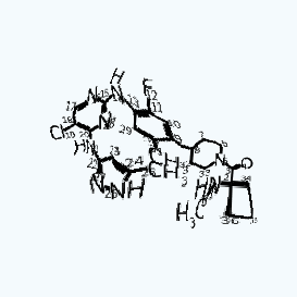 CNC1(C(=O)N2CCC(c3cc(F)c(Nc4ncc(Cl)c(Nc5cc(C)[nH]n5)n4)cc3C)CC2)CCC1